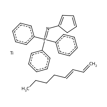 C1=CCC(N=P(c2ccccc2)(c2ccccc2)c2ccccc2)=C1.C=CC=CCCCC.[Ti]